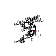 CCCCCCCCCCC(=O)NC1(C)C[C@H](O[C@@H]2C(O)C(O)[C@@H](CO)O[C@H]2Oc2c3cc4cc2Oc2ccc(cc2Cl)[C@@H](O)[C@@H](NC(=O)[C@@H](CC(C)C)NC)C(=O)NC(CC(N)=O)C(=O)N[C@H]4C(=O)N[C@@H]2C(=O)N[C@H](C(=O)N[C@H](C(=O)O)c4cc(O)c(CNCCCNC(=O)[C@H](O)[C@@H](O)[C@H](O)[C@H](O)CO)c(O)c4-c4cc2ccc4O)[C@H](O)c2ccc(c(Cl)c2)O3)C[C@@H](C)[C@H]1O